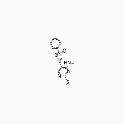 CNc1nc(SC)ncc1/C=C/S(=O)(=O)c1ccccc1